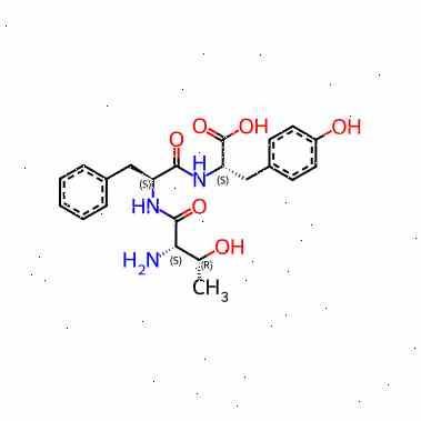 C[C@@H](O)[C@H](N)C(=O)N[C@@H](Cc1ccccc1)C(=O)N[C@@H](Cc1ccc(O)cc1)C(=O)O